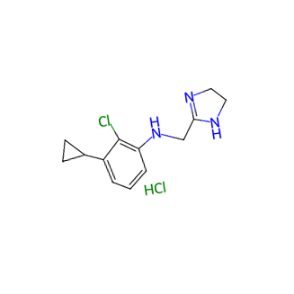 Cl.Clc1c(NCC2=NCCN2)cccc1C1CC1